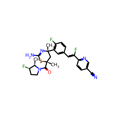 C[C@@H]1[C@H](F)CCN1C(=O)[C@@]1(C)C[C@@](C)(c2cc(/C=C(\F)c3ccc(C#N)cn3)ccc2F)N=C(N)S1